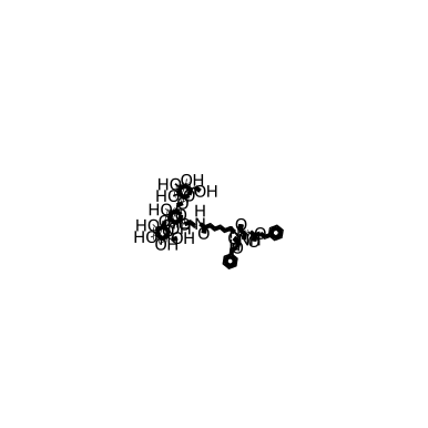 O=C(CCCCCNC(=O)[C@H](CC(=O)OCc1ccccc1)NC(=O)OCc1ccccc1)NCCO[C@H]1O[C@H](CO[C@H]2O[C@H](CO)[C@@H](O)[C@H](O)[C@@H]2O)[C@@H](O)[C@H](OC2O[C@H](CO)[C@@H](O)[C@H](O)[C@@H]2O)[C@@H]1O